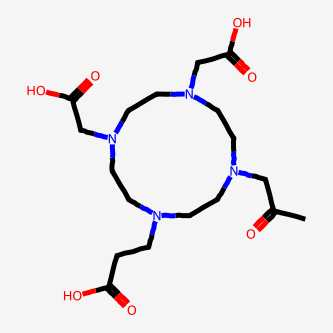 CC(=O)CN1CCN(CCC(=O)O)CCN(CC(=O)O)CCN(CC(=O)O)CC1